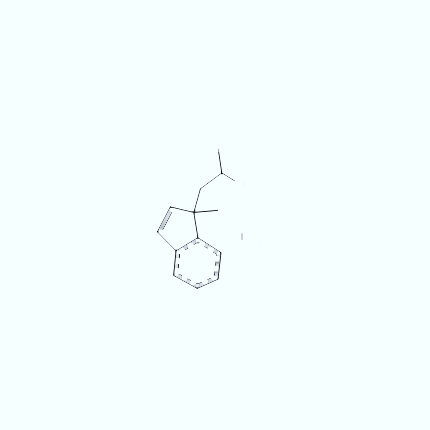 CC(C)C[C]1([Zr])C=Cc2ccccc21.F.F